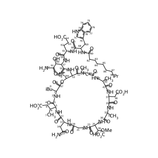 CCC(C)C1NC(=O)C(C(C)CC(=O)O)NC(=O)C(CC(N)=O)NC(=O)CNC(=O)C(C(OC)C(=O)O)NC(=O)C(C)NC(=O)C(CC(=O)O)NC(=O)C(C)NC(=O)CN(C)C(=O)C(NC(=O)C(NC(=O)C(CCC(=O)O)NC(=O)C(Cc2c[nH]c3ccccc23)NC(=O)CCCCCCC(C)C)C(O)C(N)=O)C(C)OC1=O